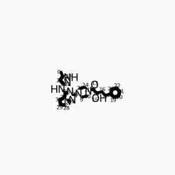 Cc1cc(Nc2nc(N3CCN(C(=O)[C@H](O)CCc4ccccc4)CC3)nn3cccc23)n[nH]1